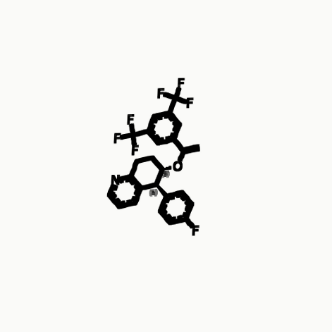 C=C(O[C@H]1CCc2ncccc2[C@@H]1c1ccc(F)cc1)c1cc(C(F)(F)F)cc(C(F)(F)F)c1